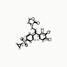 O=C1OCCN1C/C=C(\c1ccc(S(=O)(=O)C2CC2)cc1)c1ccc(Cl)c(=O)[nH]1